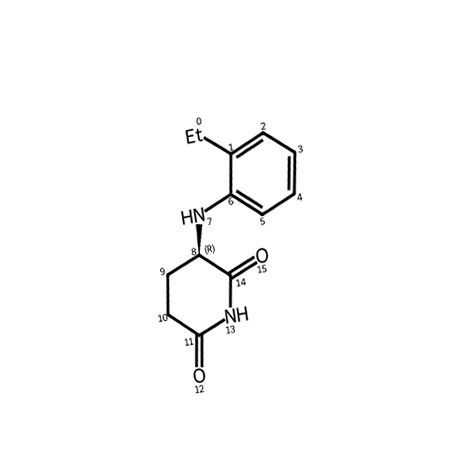 CCc1ccccc1N[C@@H]1CCC(=O)NC1=O